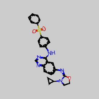 O=S(=O)(c1ccccc1)c1ccc(Nc2ncnc3ccc(N=C4OCCN4C4CC4)cc23)cc1